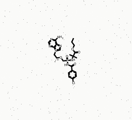 CCCOC(=O)C(C)(C)NP(=O)(CO[C@H](C)Cn1cnc2c(N)ncnc21)NC(=O)c1ccc(Cl)cc1